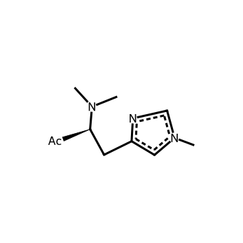 CC(=O)[C@H](Cc1cn(C)cn1)N(C)C